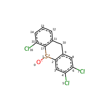 [O-][S+]1c2cc(Cl)c(Cl)cc2Cc2cccc(Cl)c21